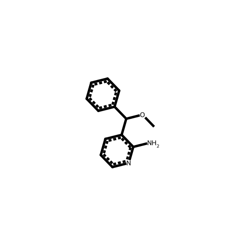 COC(c1ccccc1)c1cccnc1N